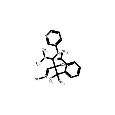 CN(C)C(Nc1cccnc1)C(C)(C=NC#N)C(C)(N)c1ccccc1C(N)=O